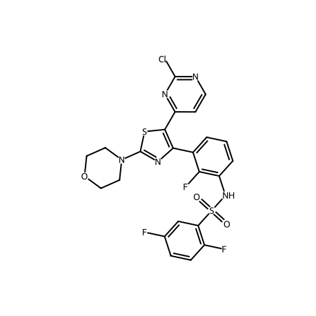 O=S(=O)(Nc1cccc(-c2nc(N3CCOCC3)sc2-c2ccnc(Cl)n2)c1F)c1cc(F)ccc1F